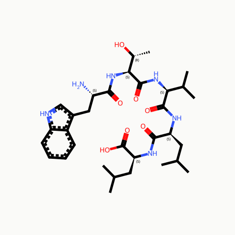 CC(C)C[C@H](NC(=O)[C@H](CC(C)C)NC(=O)[C@@H](NC(=O)[C@@H](NC(=O)[C@@H](N)Cc1c[nH]c2ccccc12)[C@@H](C)O)C(C)C)C(=O)O